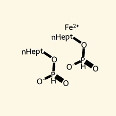 CCCCCCCO[PH](=O)[O-].CCCCCCCO[PH](=O)[O-].[Fe+2]